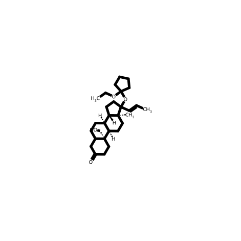 CC=CC1(OC2(OCC)CCCC2)CC[C@H]2[C@@H]3CCC4CC(=O)CC[C@]4(CO)[C@@H]3CC[C@@]21C